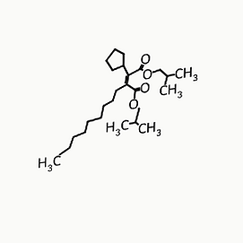 CCCCCCCCCC/C(C(=O)OCC(C)C)=C(/C(=O)OCC(C)C)C1CCCC1